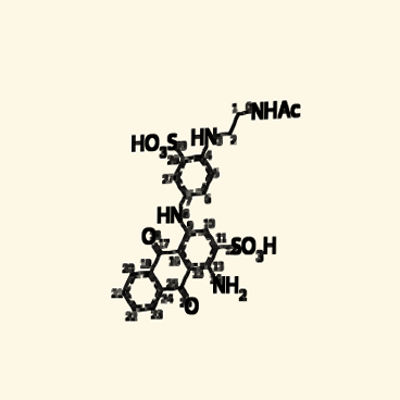 CC(=O)NCCNc1ccc(Nc2cc(S(=O)(=O)O)c(N)c3c2C(=O)c2ccccc2C3=O)cc1S(=O)(=O)O